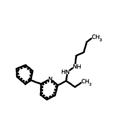 CCCCNNC(CC)c1cccc(-c2ccccc2)n1